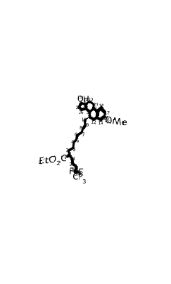 CCOC(=O)C(CCCCCCC=CC[C@@H]1Cc2cc(OC)ccc2C2CC[C@@]3(C)C(CC[C@@H]3O)C21)CCCC(F)(F)C(F)(F)F